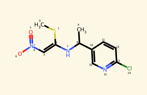 CSC(=C[N+](=O)[O-])NC(C)c1ccc(Cl)nc1